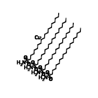 CCCCCCCCCCCCCCCCCCS(N)(=O)=O.CCCCCCCCCCCCCCCCCCS(N)(=O)=O.CCCCCCCCCCCCCCCCCCS(N)(=O)=O.CCCCCCCCCCCCCCCCCCS(N)(=O)=O.[Cu]